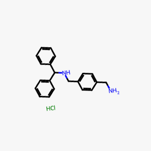 Cl.NCc1ccc(CNC(c2ccccc2)c2ccccc2)cc1